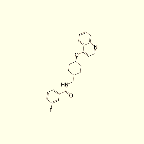 O=C(NC[C@H]1CC[C@H](Oc2ccnc3ccccc23)CC1)c1cccc(F)c1